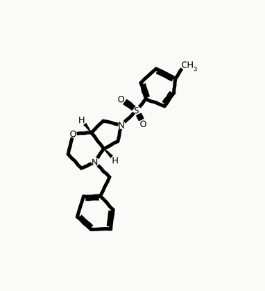 Cc1ccc(S(=O)(=O)N2C[C@H]3OCCN(Cc4ccccc4)[C@H]3C2)cc1